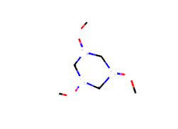 CON1CN(OC)CN(OC)C1